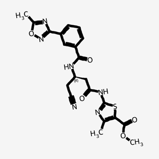 COC(=O)c1sc(NC(=O)C[C@@H](CC#N)NC(=O)c2cccc(-c3noc(C)n3)c2)nc1C